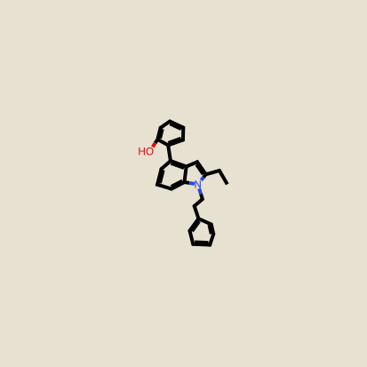 CCc1cc2c(-c3ccccc3O)cccc2n1CCc1ccccc1